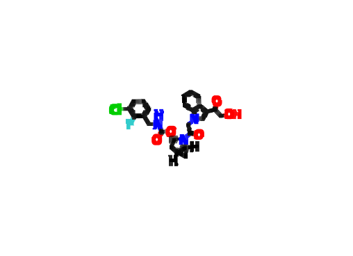 O=C(NCc1cccc(Cl)c1F)O[C@H]1C[C@H]2C[C@H]2N1C(=O)Cn1cc(C(=O)CO)c2ccccc21